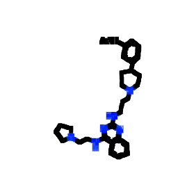 CC(=O)Nc1cccc(C2CCN(CCCNc3nc(NCCN4CCCC4)c4ccccc4n3)CC2)c1